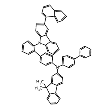 CC1(C)c2ccccc2-c2ccc(N(c3ccc(-c4ccccc4)cc3)c3ccc(-c4ccccc4-n4c5ccccc5c5cc(-c6cccc7ccccc67)ccc54)cc3)cc21